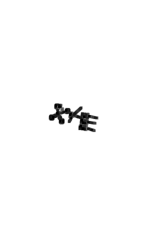 CC#N.CC#N.CC#N.C[Si](C)(C)OS(=O)(=O)C(F)(F)F